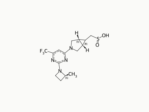 C[C@H]1CCN1c1nc(N2C[C@@H]3C(CS(=O)O)[C@@H]3C2)cc(C(F)(F)F)n1